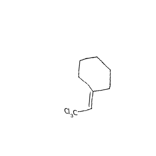 ClC(Cl)(Cl)C=C1CCCCC1